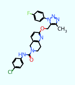 Cc1nnn(-c2ccc(F)cc2)c1COc1ccc2c(n1)CCN(C(=O)Nc1ccc(Cl)cc1)C2